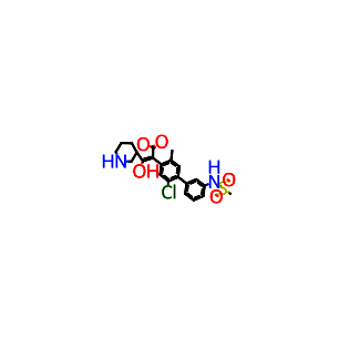 Cc1cc(-c2cccc(NS(C)(=O)=O)c2)c(Cl)cc1C1=C(O)C2(CCCNC2)OC1=O